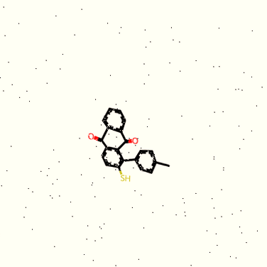 Cc1ccc(-c2c(S)ccc3c2C(=O)c2ccccc2C3=O)cc1